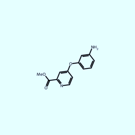 COC(=O)c1cc(Oc2cccc(N)c2)ccn1